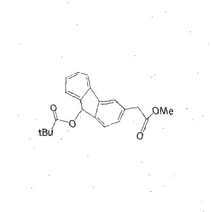 COC(=O)Cc1ccc2c(c1)-c1ccccc1C2OC(=O)C(C)(C)C